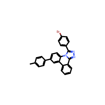 Cc1ccc(-c2ccc3c(c2)c2ccccc2c2nnc(-c4ccc(Br)cc4)n32)cc1